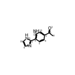 CC(=O)c1ccc(-c2ncc[nH]2)cc1.N